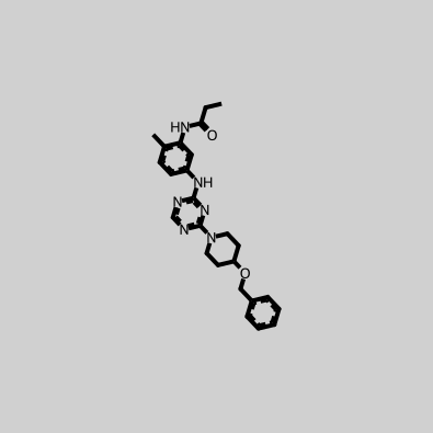 CCC(=O)Nc1cc(Nc2ncnc(N3CCC(OCc4ccccc4)CC3)n2)ccc1C